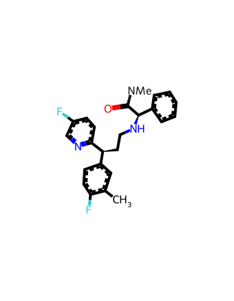 CNC(=O)[C@H](NCC[C@@H](c1ccc(F)c(C)c1)c1ccc(F)cn1)c1ccccc1